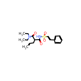 C=CCC(C(=O)NS(=O)(=O)C=Cc1ccccc1)C(=O)N(CC)CC